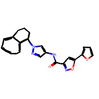 O=C(Nc1cnn(C2CCCc3ccccc32)c1)c1cc(-c2ccco2)on1